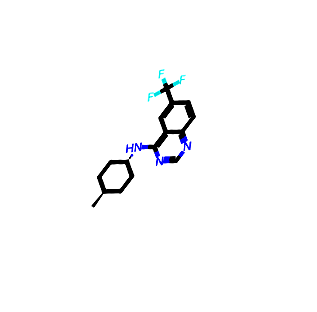 C[C@H]1CC[C@H](Nc2ncnc3ccc(C(F)(F)F)cc23)CC1